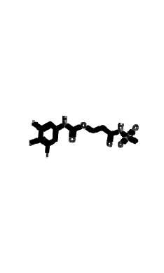 CS(=O)(=O)NC(=O)CCOC(=O)Nc1cc(I)c(I)c(I)c1